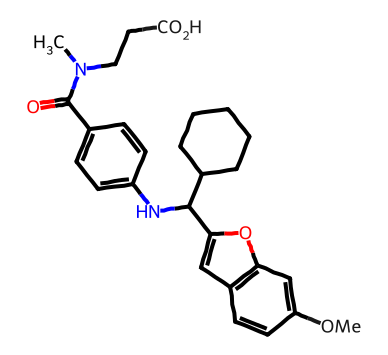 COc1ccc2cc(C(Nc3ccc(C(=O)N(C)CCC(=O)O)cc3)C3CCCCC3)oc2c1